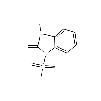 Cn1c(=O)n(S(C)(=O)=O)c2ccccc21